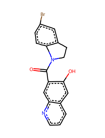 O=C(c1cc2ncccc2cc1O)N1CCc2cc(Br)ccc21